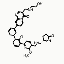 COC1N=C(C2=C(Cl)C(C3C=C(c4ccn5c(=O)c(CNCCO)cnc5c4)C=CC3)CC=C2)C=CC1CNC[C@@H]1CCC(=O)N1